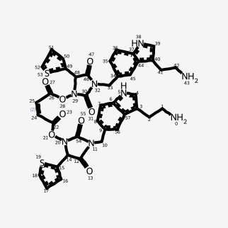 NCCc1c[nH]c2ccc(CN3C(=O)C(c4cccs4)N(OC(=O)/C=C\C(=O)ON4C(=O)N(Cc5ccc6[nH]cc(CCN)c6c5)C(=O)C4c4cccs4)C3=O)cc12